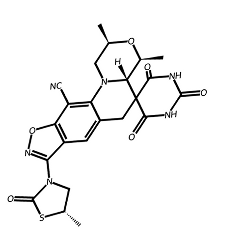 C[C@@H]1CN2c3c(cc4c(N5C[C@H](C)SC5=O)noc4c3C#N)CC3(C(=O)NC(=O)NC3=O)[C@H]2[C@H](C)O1